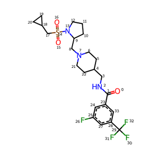 O=C(NCC1CCN(CC2CCCN2S(=O)(=O)CC2CC2)CC1)c1cc(F)cc(C(F)(F)F)c1